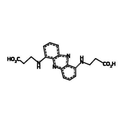 O=C(O)CCNc1cccc2nc3c(NCCC(=O)O)cccc3nc12